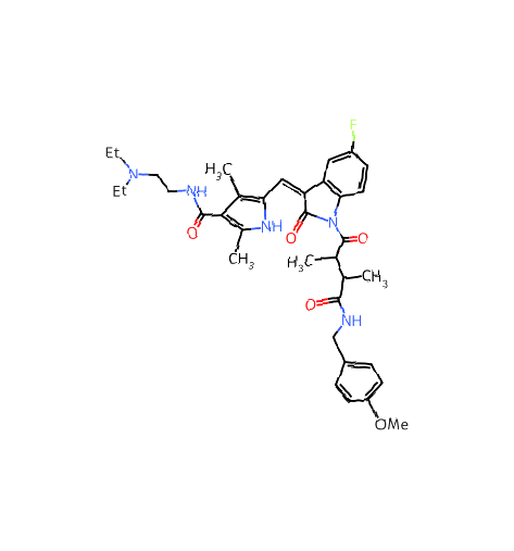 CCN(CC)CCNC(=O)c1c(C)[nH]c(/C=C2\C(=O)N(C(=O)C(C)C(C)C(=O)NCc3ccc(OC)cc3)c3ccc(F)cc32)c1C